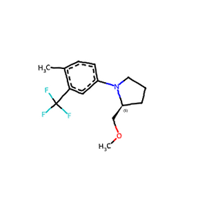 COC[C@@H]1CCCN1c1ccc(C)c(C(F)(F)F)c1